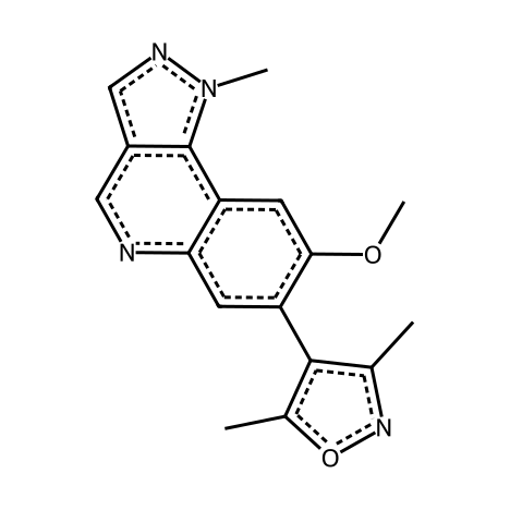 COc1cc2c(cc1-c1c(C)noc1C)ncc1cnn(C)c12